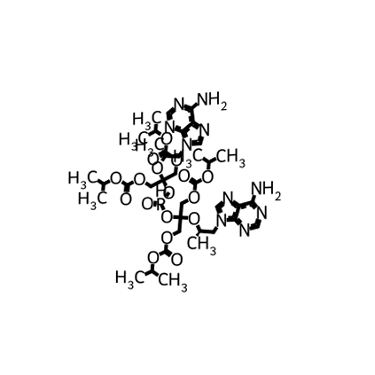 CC(C)OC(=O)OCC(COC(=O)OC(C)C)(O[C@H](C)Cn1cnc2c(N)ncnc21)O[PH](=O)OC(COC(=O)OC(C)C)(COC(=O)OC(C)C)O[C@H](C)Cn1cnc2c(N)ncnc21